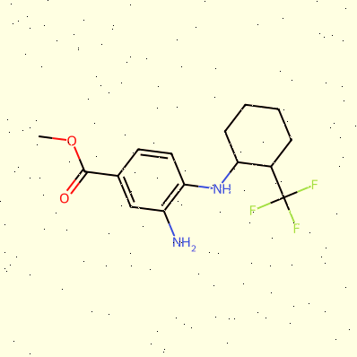 COC(=O)c1ccc(NC2CCCCC2C(F)(F)F)c(N)c1